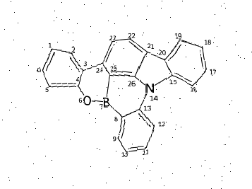 c1ccc2c(c1)OB1c3ccccc3-n3c4ccccc4c4ccc-2c1c43